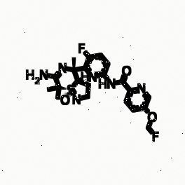 CC1(C)C(N)=N[C@](C)(c2nc(NC(=O)c3ccc(OCF)cn3)ccc2F)[C@H]2CCN=[S@@]21=O